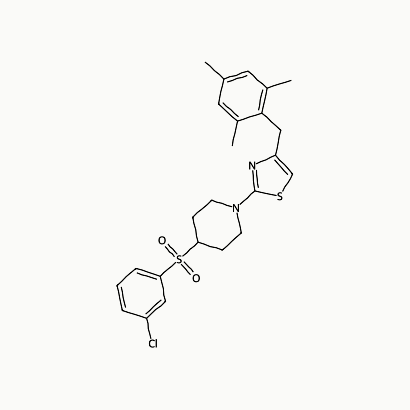 Cc1cc(C)c(Cc2csc(N3CCC(S(=O)(=O)c4cccc(Cl)c4)CC3)n2)c(C)c1